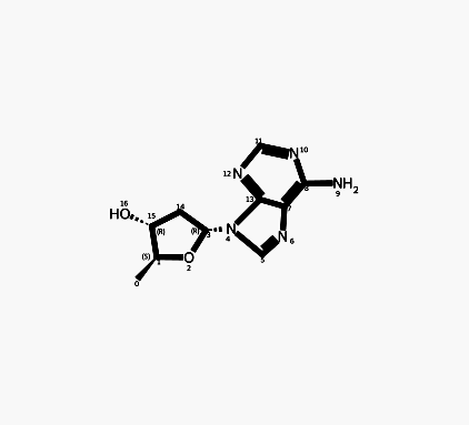 C[C@@H]1O[C@@H](n2cnc3c(N)ncnc32)C[C@H]1O